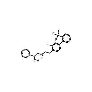 OC(CNCCc1ccc(-c2ccccc2C(F)(F)F)cc1F)c1ccccc1